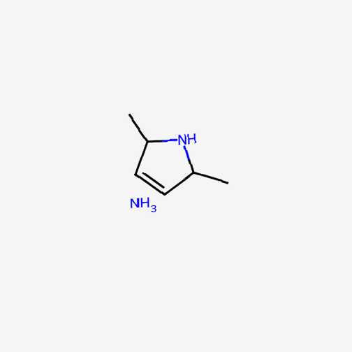 CC1C=CC(C)N1.N